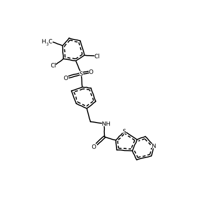 Cc1ccc(Cl)c(S(=O)(=O)c2ccc(CNC(=O)c3cc4ccncc4s3)cc2)c1Cl